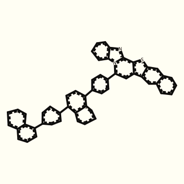 c1ccc2cc3c(cc2c1)sc1c3cc(-c2ccc(-c3ccc(-c4ccc(-c5cccc6ccccc56)cc4)c4ccccc34)cc2)n2c3ccccc3nc12